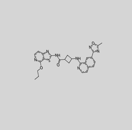 CCCOc1nccc2nc(NC(=O)C3CC(Nc4nccc5ccc(-c6noc(C)n6)cc45)C3)sc12